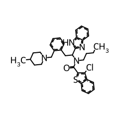 CCCCN(C(=O)c1sc2ccccc2c1Cl)C(Cc1ccccc1CN1CCC(C)CC1)c1nc2ccccc2[nH]1